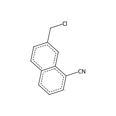 N#Cc1[c]ccc2ccc(CCl)cc12